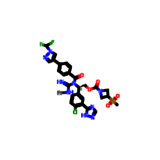 CCNC(=N)N(C(=O)c1ccc(-c2cnn(C(F)F)c2)cc1)[C@H](COC(=O)N1CC(S(C)(=O)=O)C1)c1ccc(Cl)c(-c2ncn[nH]2)c1